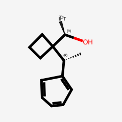 CC(C)[C@@H](O)C1([C@H](C)c2ccccc2)CCC1